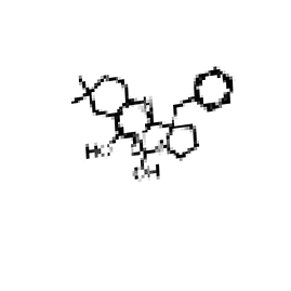 CC1(C)CCc2nc([C@]3(Cc4ccccc4)CCCN3C(=O)O)nc(O)c2C1